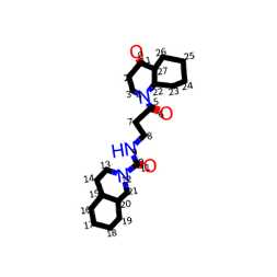 O=C1CCN(C(=O)CCNC(=O)N2CCC3CCCCC3C2)C2CCCCC12